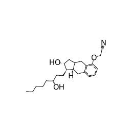 CCCCC[C@H](O)CC[C@H]1[C@H](O)CC2Cc3c(cccc3OCC#N)C[C@@H]21